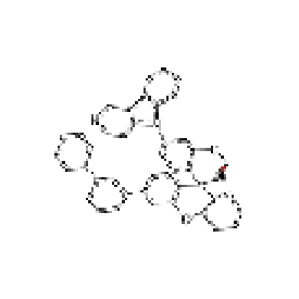 c1ccc(-c2cccc(-c3ccc4c(c3)Oc3ccccc3C43c4ccccc4Oc4cc(-n5c6ccccc6c6cnccc65)ccc43)c2)cc1